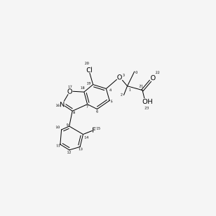 CC(C)(Oc1ccc2c(-c3ccccc3F)noc2c1Cl)C(=O)O